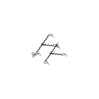 CCCCCCC[CH2][Sn+]([CH2]CCCCCCC)[CH2]CCCCCCC.CCCCCCC[CH2][Sn+]([CH2]CCCCCCC)[CH2]CCCCCCC.O=C([O-])[O-]